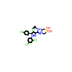 OS1(O)CCN(N=C(NC2CC2)c2nn(-c3ccc(Cl)cc3Cl)c(-c3ccc(Cl)cc3)c2Cl)CC1